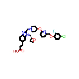 O=C(O)/C=C/c1ccc2nc(CN3CCC(Oc4cccc(COc5ccc(Cl)cc5F)n4)CC3)n(C[C@@H]3CCO3)c2c1